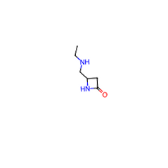 CCNCC1CC(=O)N1